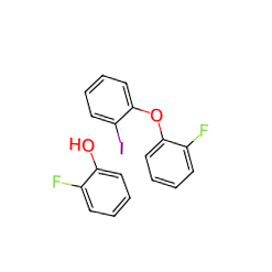 Fc1ccccc1Oc1ccccc1I.Oc1ccccc1F